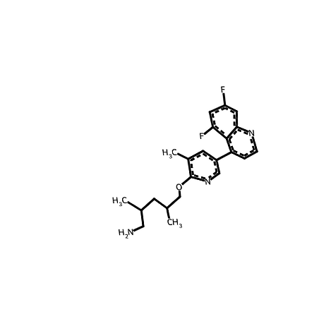 Cc1cc(-c2ccnc3cc(F)cc(F)c23)cnc1OCC(C)CC(C)CN